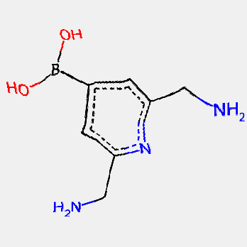 NCc1cc(B(O)O)cc(CN)n1